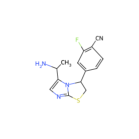 CC(N)c1cnc2n1C(c1ccc(C#N)c(F)c1)CS2